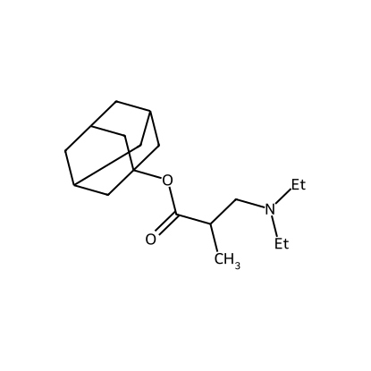 CCN(CC)CC(C)C(=O)OC12CC3CC(CC(C3)C1)C2